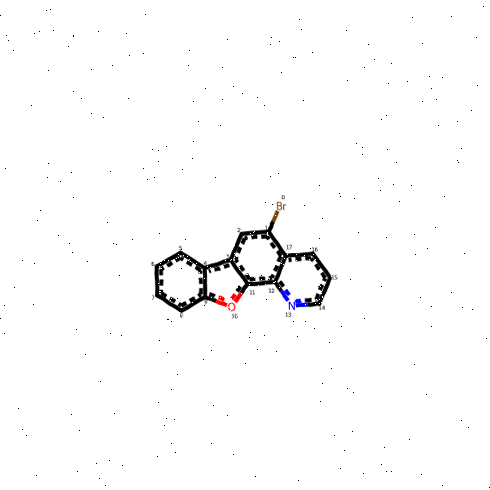 Brc1cc2c3ccccc3oc2c2ncccc12